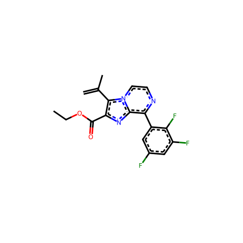 C=C(C)c1c(C(=O)OCC)nc2c(-c3cc(F)cc(F)c3F)nccn12